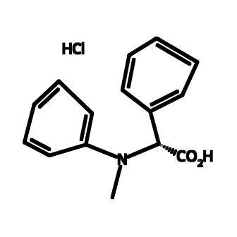 CN(c1ccccc1)[C@@H](C(=O)O)c1ccccc1.Cl